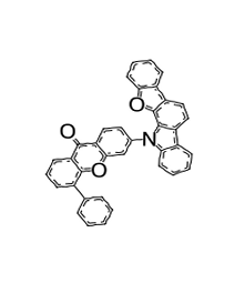 O=c1c2ccc(-n3c4ccccc4c4ccc5c6ccccc6oc5c43)cc2oc2c(-c3ccccc3)cccc12